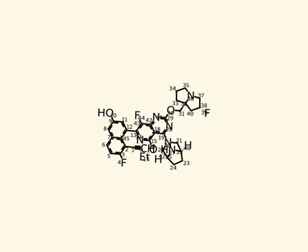 C#Cc1c(F)ccc2cc(O)cc(-c3nc(OCC)c4c(N5C[C@H]6CC[C@@H](C5)N6)nc(OC[C@@]56CCCN5C[C@H](F)C6)nc4c3F)c12